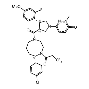 COc1ccc([C@@H]2CN(c3ccc(=O)n(C)n3)C[C@H]2C(=O)N2CCC[C@@H](C3C=CC(Cl)=CC3)N(C(=O)CC(F)(F)F)CC2)c(F)c1